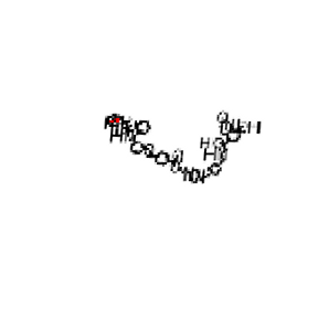 O=C(NC(c1ccccc1)c1cccc(OCc2ccc(C(=O)OCCN3CCN(Cc4ccc(CNCC(O)c5ccc(O)c6[nH]c(=O)ccc56)cc4)CC3)cc2)c1)O[C@H]1CN2CCC1CC2